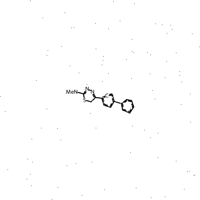 CNC1=NN=C(c2ccc(-c3ccccc3)cc2)CS1